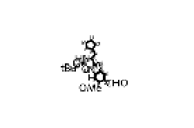 COc1cc2[nH]c(C(CC3CCCC3)NC(=O)OC(C)(C)C)nc2cc1C=O